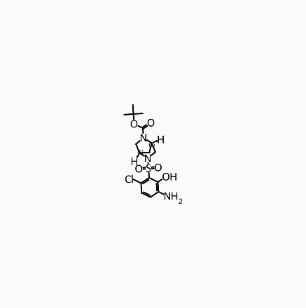 CC(C)(C)OC(=O)N1C[C@@H]2C[C@H]1CN2S(=O)(=O)c1c(Cl)ccc(N)c1O